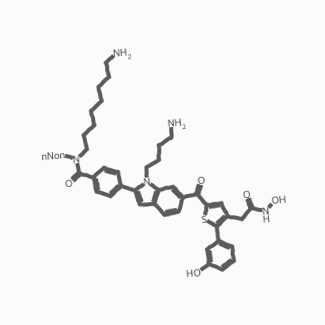 CCCCCCCCCN(CCCCCCCCN)C(=O)c1ccc(-c2cc3ccc(C(=O)c4cc(CC(=O)NO)c(-c5cccc(O)c5)s4)cc3n2CCCCN)cc1